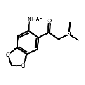 CC(=O)Nc1cc2c(cc1C(=O)CN(C)C)OCO2